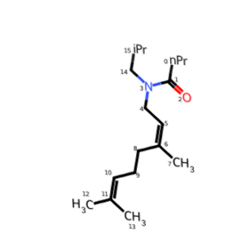 CCCC(=O)N(C/C=C(/C)CCC=C(C)C)CC(C)C